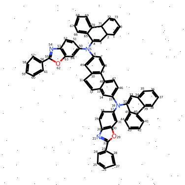 C1=CC2C=C(N(c3ccc4c(ccc5cc(N(c6ccc7nc(-c8ccccc8)oc7c6)c6cc7ccccc7c7ccccc67)ccc54)c3)c3ccc4nc(-c5ccccc5)oc4c3)c3ccccc3C2C=C1